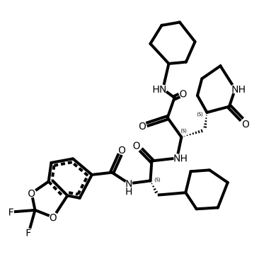 O=C(NC1CCCCC1)C(=O)[C@H](C[C@@H]1CCCNC1=O)NC(=O)[C@H](CC1CCCCC1)NC(=O)c1ccc2c(c1)OC(F)(F)O2